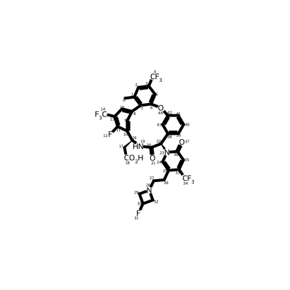 Cc1cc(C(F)(F)F)cc2c1-c1cc(c(F)c(C(F)(F)F)c1)[C@H](CC(=O)O)NC(=O)[C@H](n1cc(CCN3CC(F)C3)c(C(F)(F)F)cc1=O)c1cccc(c1)O2